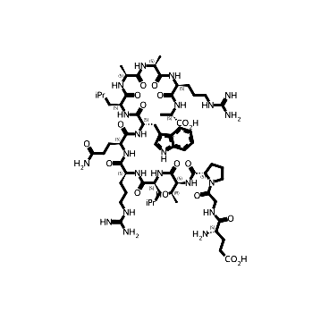 CC(C)C[C@H](NC(=O)[C@H](Cc1c[nH]c2ccccc12)NC(=O)[C@H](CCC(N)=O)NC(=O)[C@H](CCCNC(=N)N)NC(=O)[C@H](CC(C)C)NC(=O)[C@@H](NC(=O)[C@@H]1CCCN1C(=O)CNC(=O)[C@@H](N)CCC(=O)O)[C@@H](C)O)C(=O)N[C@@H](C)C(=O)N[C@@H](C)C(=O)N[C@@H](CCCNC(=N)N)C(=O)N[C@@H](C)C(=O)O